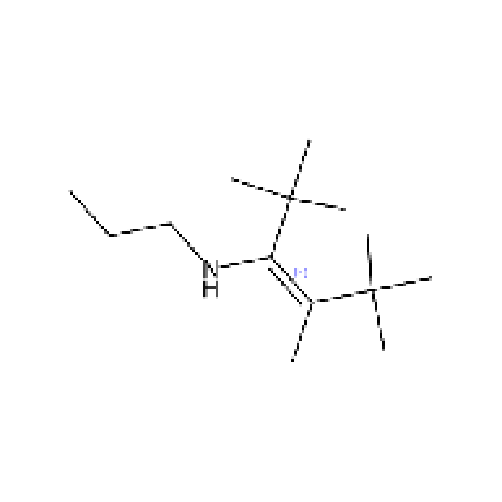 CCCN/C(=C(\C)C(C)(C)C)C(C)(C)C